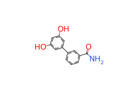 NC(=O)c1cccc(-c2cc(O)cc(O)c2)c1